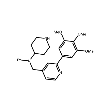 CCN(Cc1ccnc(-c2cc(OC)c(OC)c(OC)c2)c1)C1CCNCC1